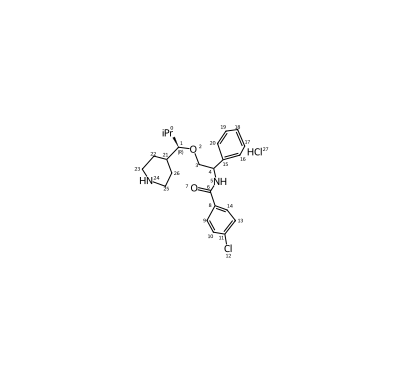 CC(C)[C@@H](OCC(NC(=O)c1ccc(Cl)cc1)c1ccccc1)C1CCNCC1.Cl